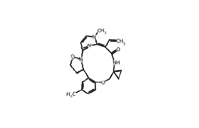 C=C/C1=C2/N=C(C=CN2C)N2OCCC2c2cc(C)ccc2OCC2(CC2)NC1=O